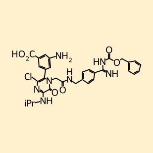 CC(C)Nc1nc(Cl)c(-c2cc(N)cc(C(=O)O)c2)n(CC(=O)NCc2ccc(C(=N)NC(=O)OCc3ccccc3)cc2)c1=O